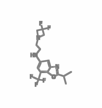 CC(C)c1nc2cc(NCCN3CC(F)(F)C3)cc(C(F)(F)F)c2o1